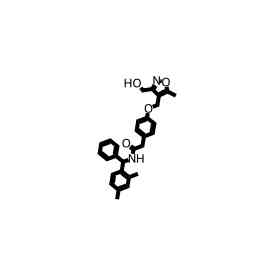 Cc1ccc(C(NC(=O)Cc2ccc(OCc3c(CO)noc3C)cc2)c2ccccc2)c(C)c1